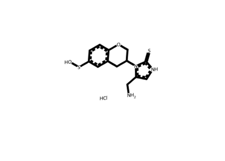 Cl.NCc1c[nH]c(=S)n1C1COc2ccc(SO)cc2C1